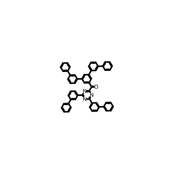 O=C(c1cc(-c2cccc(-c3ccccc3)c2)cc(-c2cccc(-c3ccccc3)c2)c1)c1nc(-c2cccc(-c3ccccc3)c2)nc(-c2cccc(-c3ccccc3)c2)n1